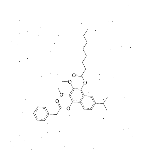 CCCCCCCC(=O)Oc1c(OC)c(OC)c(OC(=O)Cc2ccccc2)c2ccc(C(C)C)cc12